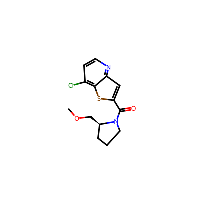 COC[C@@H]1CCCN1C(=O)c1cc2nccc(Cl)c2s1